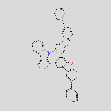 c1ccc(-c2ccc3oc4ccc(-c5cccc6c7ccccc7n(-c7ccc8oc9ccc(-c%10ccccc%10)cc9c8c7)c56)cc4c3c2)cc1